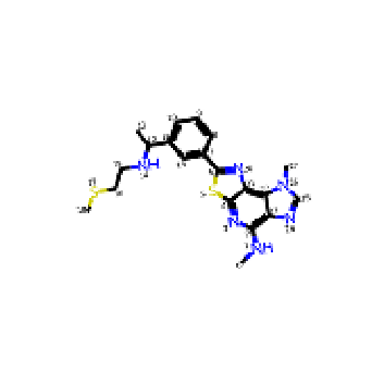 CNc1nc2sc(-c3cccc(C(C)NCCSC)c3)nc2c2c1ncn2C